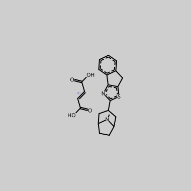 CN1C2CCC1CC(c1nc3c(s1)Cc1ccccc1-3)C2.O=C(O)/C=C/C(=O)O